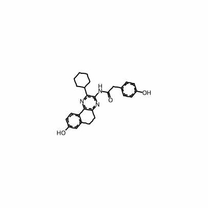 O=C(Cc1ccc(O)cc1)Nc1nc2c(nc1C1CCCCC1)-c1ccc(O)cc1CC2